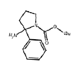 CC(C)(C)OC(=O)N1CCCC1(N)c1ccccc1